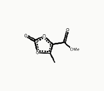 COC(=O)c1oc(=O)oc1C